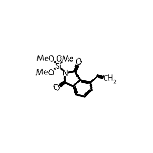 C=Cc1cccc2c1C(=O)N([Si](OC)(OC)OC)C2=O